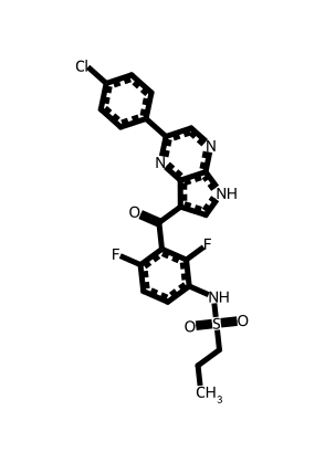 CCCS(=O)(=O)Nc1ccc(F)c(C(=O)c2c[nH]c3ncc(-c4ccc(Cl)cc4)nc23)c1F